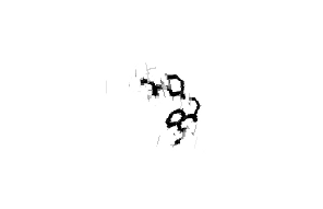 CNc1ncc2c3c(cccc13)N(C1CCCN(C(=O)OC(C)(C)C)C1)CC2